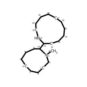 CN1CCCCCCCCC1C1CCCCCCCCCCN1